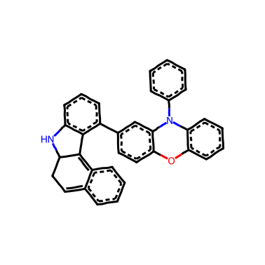 C1=c2ccccc2=C2c3c(cccc3-c3ccc4c(c3)N(c3ccccc3)c3ccccc3O4)NC2C1